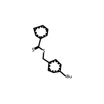 CCC(C)c1ccc(CSC(=S)c2ccccc2)cc1